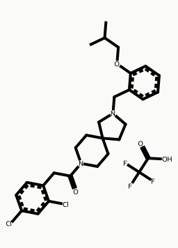 CC(C)COc1ccccc1CN1CCC2(CCN(C(=O)Cc3ccc(Cl)cc3Cl)CC2)C1.O=C(O)C(F)(F)F